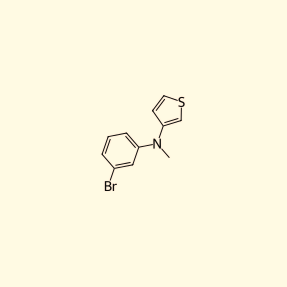 CN(c1ccsc1)c1cccc(Br)c1